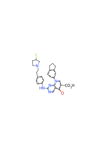 O=C(O)c1cn(-c2ccc3c(c2)CCC3)c2nc(Nc3ccc(CCN4CC[C@@H](F)C4)cc3)ncc2c1=O